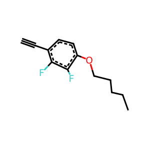 C#Cc1ccc(OCCCCC)c(F)c1F